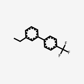 CCc1cccc(-c2ccc(C(F)(F)F)cc2)c1